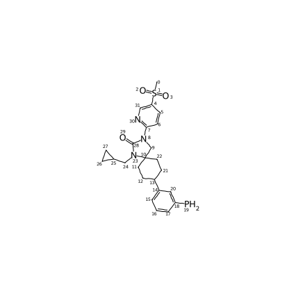 CS(=O)(=O)c1ccc(N2CC3(CCC(c4cccc(P)c4)CC3)N(CC3CC3)C2=O)nc1